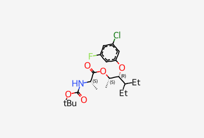 CCC(CC)[C@@H](Oc1cc(F)cc(Cl)c1)[C@H](C)OC(=O)[C@H](C)NC(=O)OC(C)(C)C